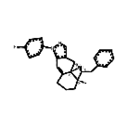 C[C@]12Cc3cnn(-c4ccc(F)cc4)c3C=C1CCC[C@@]2(F)C(O)Cc1ccccc1